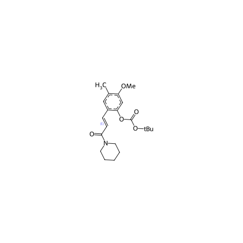 COc1cc(OC(=O)OC(C)(C)C)c(/C=C/C(=O)N2CCCCC2)cc1C